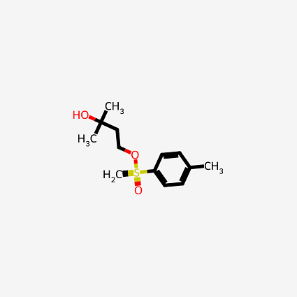 C=S(=O)(OCCC(C)(C)O)c1ccc(C)cc1